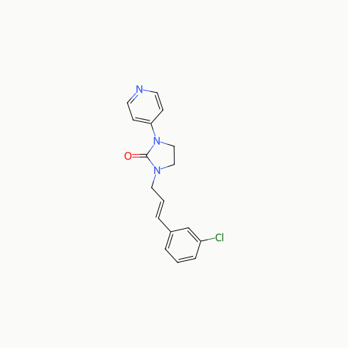 O=C1N(C/C=C/c2cccc(Cl)c2)CCN1c1ccncc1